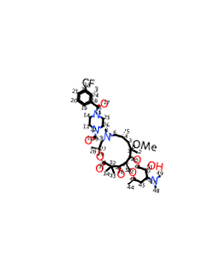 CO[C@]1(C)C[C@@H](C)CN(C)[C@@H](C(=O)N2CCN(C(=O)c3cccc(C(F)(F)F)c3)CC2)[C@H](C)OC(=O)C(C)(C)C(=O)[C@H](C)[C@H]1O[C@@H]1O[C@H](C)C[C@H](N(C)C)[C@H]1O